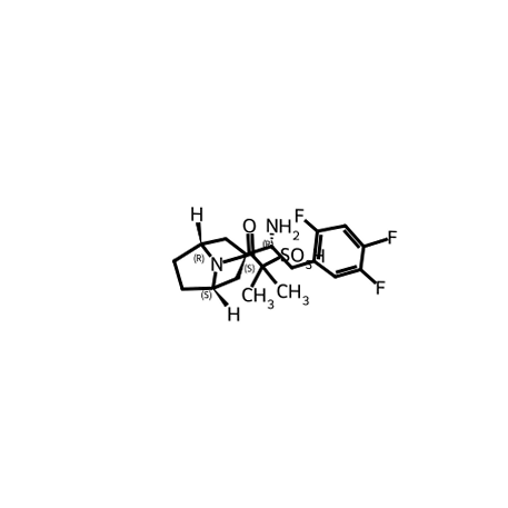 CC(C)(C(=O)N1[C@@H]2CC[C@H]1C[C@H]([C@H](N)Cc1cc(F)c(F)cc1F)C2)S(=O)(=O)O